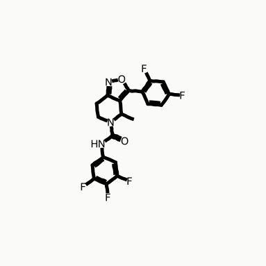 CC1c2c(noc2-c2ccc(F)cc2F)CCN1C(=O)Nc1cc(F)c(F)c(F)c1